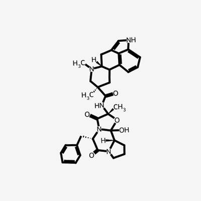 CN1C[C@](C)(C(=O)N[C@]2(C)OC3(O)[C@@H]4CCCN4C(=O)[C@H](Cc4ccccc4)N3C2=O)CC2c3cccc4[nH]cc(c34)C[C@H]21